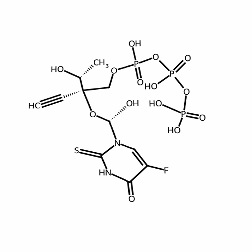 C#C[C@](COP(=O)(O)OP(=O)(O)OP(=O)(O)O)(O[C@H](O)n1cc(F)c(=O)[nH]c1=S)[C@@H](C)O